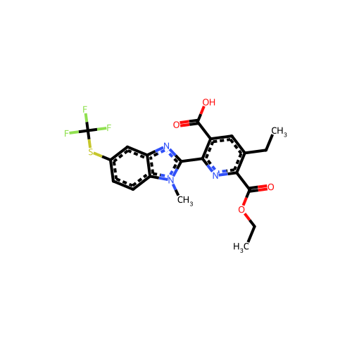 CCOC(=O)c1nc(-c2nc3cc(SC(F)(F)F)ccc3n2C)c(C(=O)O)cc1CC